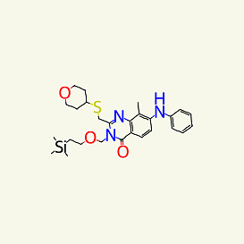 Cc1c(Nc2ccccc2)ccc2c(=O)n(COCC[Si](C)(C)C)c(CSC3CCOCC3)nc12